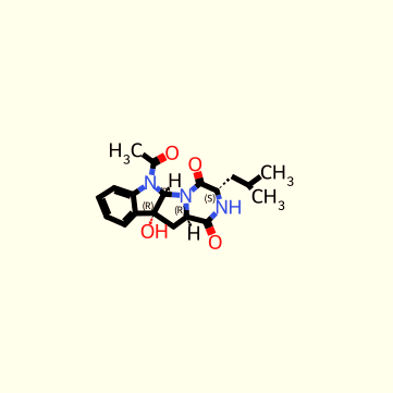 CC(=O)N1c2ccccc2[C@]2(O)C[C@@H]3C(=O)N[C@@H](CC(C)C)C(=O)N3[C@H]12